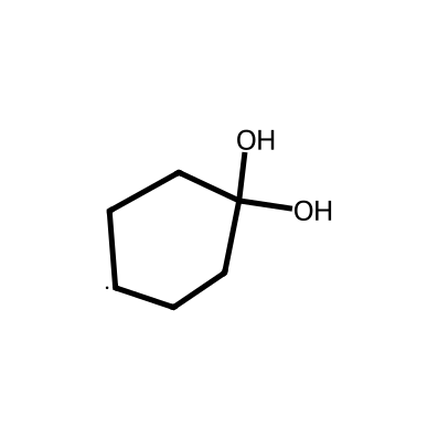 OC1(O)CC[CH]CC1